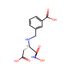 O=C(O)C[C@H](NCc1cccc(C(=O)O)c1)C(=O)NO